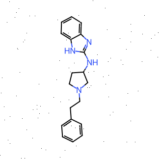 c1ccc(CCN2CCC(Nc3nc4ccccc4[nH]3)C2)cc1